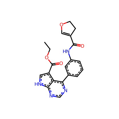 CCOC(=O)c1c[nH]c2ncnc(-c3cccc(NC(=O)C4=COCC4)c3)c12